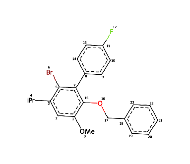 COc1cc(C(C)C)c(Br)c(-c2ccc(F)cc2)c1OCc1ccccc1